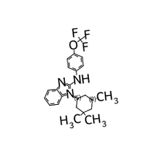 C[C@H]1C[C@H](n2c(Nc3ccc(OC(F)(F)F)cc3)nc3ccccc32)CC(C)(C)C1